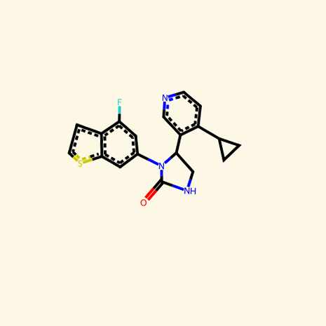 O=C1NCC(c2cnccc2C2CC2)N1c1cc(F)c2ccsc2c1